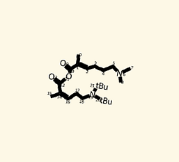 CC(=CCCCN(C)C)C(=O)OC(=O)C(C)=CCCN(C(C)(C)C)C(C)(C)C